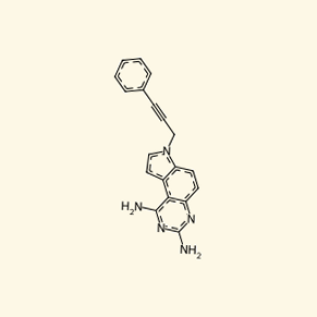 Nc1nc(N)c2c(ccc3c2ccn3CC#Cc2ccccc2)n1